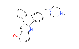 CN1CCN(Cc2ccc(-c3nc4c(cc3-c3ccccc3)C(=O)CC=C4)cc2)CC1